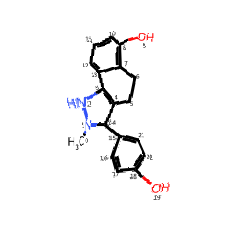 CN1NC2=C(CCc3c(O)cccc32)C1c1ccc(O)cc1